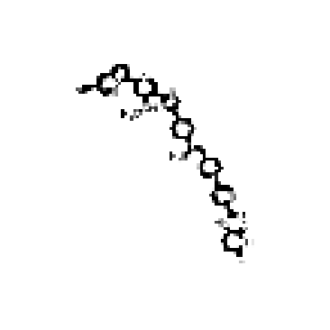 CNc1cc(-c2ccc3cc(C#N)cnn23)ncc1-c1nnc(C2CCC(N(C)CC3CCN(c4ccc(C(=O)NC5CCC(=O)NC5=O)nc4)CC3)CC2)s1